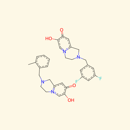 Cc1ccccc1CN1CCn2cc(O)c(=O)cc2C1.O=c1cc2n(cc1O)CCN(Cc1cc(F)cc(F)c1)C2